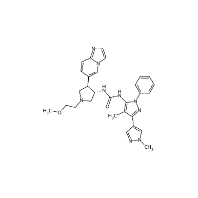 COCCN1C[C@@H](NC(=O)Nc2c(C)c(-c3cnn(C)c3)nn2-c2ccccc2)[C@H](c2ccc3nccn3c2)C1